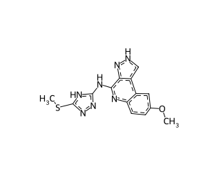 COc1ccc2nc(Nc3nnc(SC)[nH]3)c3n[nH]cc3c2c1